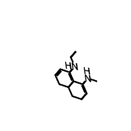 CCNC1=C2C(NC)=CCCC2CC=C1